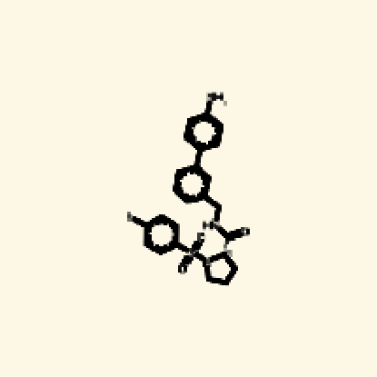 Nc1ccc(-c2cccc(CNC(=O)[C@@H]3CCCN3S(=O)(=O)c3ccc(F)cc3)c2)cc1